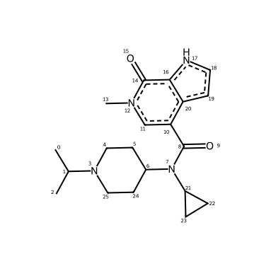 CC(C)N1CCC(N(C(=O)c2cn(C)c(=O)c3[nH]ccc23)C2CC2)CC1